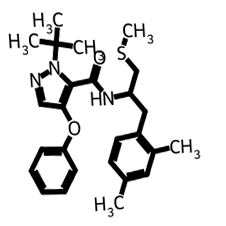 CSCC(Cc1ccc(C)cc1C)NC(=O)c1c(Oc2ccccc2)cnn1C(C)(C)C